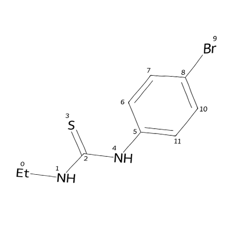 CCNC(=S)Nc1ccc(Br)cc1